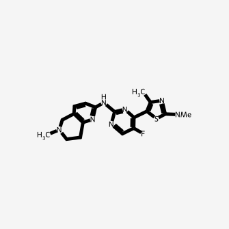 CNc1nc(C)c(-c2nc(Nc3ccc4c(n3)CCN(C)C4)ncc2F)s1